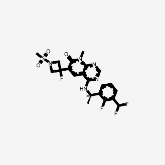 C[C@@H](Nc1ncnc2c1cc(C1(F)CN(S(C)(=O)=O)C1)c(=O)n2C)c1cccc(C(F)F)c1F